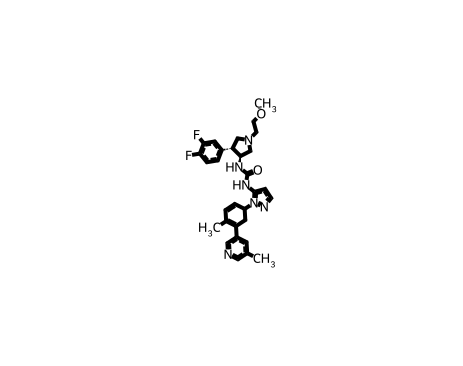 COCCN1C[C@@H](NC(=O)Nc2ccnn2C2C=CC(C)=C(c3cncc(C)c3)C2)[C@H](c2ccc(F)c(F)c2)C1